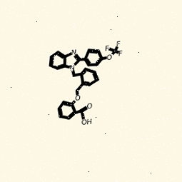 O=C(O)c1ccccc1OCc1ccccc1Cn1c(-c2ccc(OC(F)(F)F)cc2)nc2ccccc21